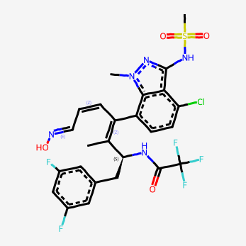 C\C(=C(/C=C\C=N\O)c1ccc(Cl)c2c(NS(C)(=O)=O)nn(C)c12)[C@H](Cc1cc(F)cc(F)c1)NC(=O)C(F)(F)F